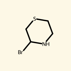 BrC1CSCCN1